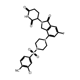 N#Cc1ccc(S(=O)(=O)N2CCN(c3cc(F)cc4c3CN(C3CCC(=O)NC3=O)C4=O)CC2)cc1Cl